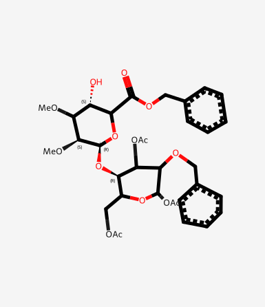 COC1[C@H](O)C(C(=O)OCc2ccccc2)O[C@@H](O[C@@H]2C(COC(C)=O)OC(OC(C)=O)C(OCc3ccccc3)C2OC(C)=O)[C@H]1OC